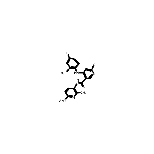 COc1ccc(NC(=O)c2cnc(Cl)cc2Nc2ccc(F)cc2C)c(C)n1